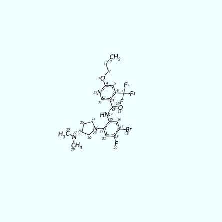 CCCOc1cc(C(F)(F)F)c(C(=O)Nc2cc(Br)c(F)cc2N2CC[C@@H](N(C)C)C2)cn1